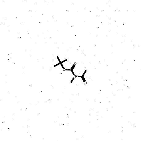 CC(=O)N(C)C(=O)OC(C)(C)C